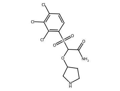 NC(=O)C(OC1CCNC1)S(=O)(=O)c1ccc(Cl)c(Cl)c1Cl